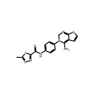 Cc1nnc(C(=O)Nc2ccc(N3CN=c4sccc4=C3N)cc2)s1